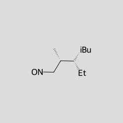 CC[C@@H]([C@@H](C)CC)[C@@H](C)CN=O